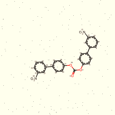 O=C(Oc1ccc(-c2cccc([N+](=O)[O-])c2)cc1)Oc1ccc(-c2cccc([N+](=O)[O-])c2)cc1